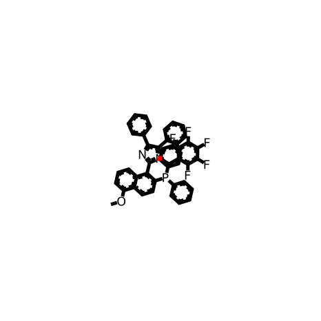 COc1cccc2c(-c3nc(-c4ccccc4)c(-c4ccccc4)n3Cc3c(F)c(F)c(F)c(F)c3F)c(P(c3ccccc3)c3ccccc3)ccc12